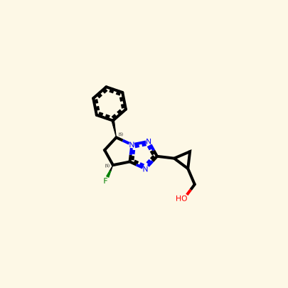 OCC1CC1c1nc2n(n1)[C@H](c1ccccc1)C[C@@H]2F